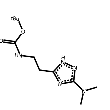 CN(C)c1n[nH]c(CCNC(=O)OC(C)(C)C)n1